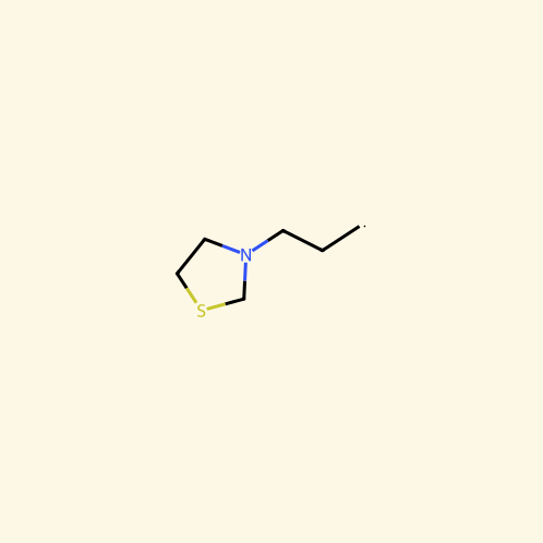 [CH2]CCN1CCSC1